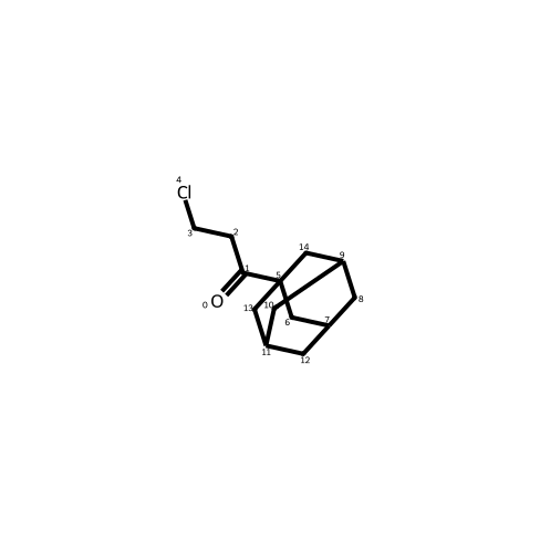 O=C(CCCl)C12CC3CC(CC(C3)C1)C2